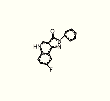 O=c1c2c[nH]c3ccc(F)cc3c-2nn1-c1ccccc1